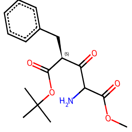 COC(=O)C(N)C(=O)[C@H](Cc1ccccc1)C(=O)OC(C)(C)C